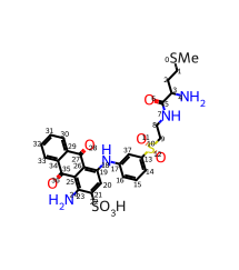 CSCCC(N)C(=O)NCCS(=O)(=O)c1cccc(Nc2cc(S(=O)(=O)O)c(N)c3c2C(=O)c2ccccc2C3=O)c1